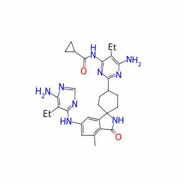 CCc1c(N)nc(C2CCC3(CC2)NC(=O)c2c(C)cc(Nc4ncnc(N)c4CC)cc23)nc1NC(=O)C1CC1